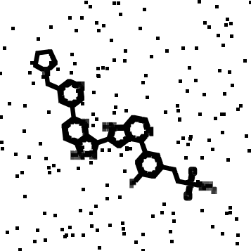 NS(=O)(=O)CCc1cc(F)cc(-c2nccc3[nH]c(-c4n[nH]c5ccc(-c6cncc(CN7CCCC7)c6)nc45)cc23)c1